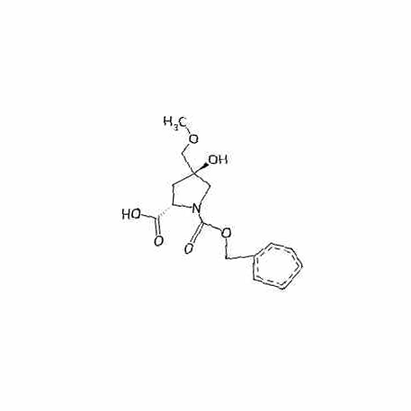 COC[C@@]1(O)C[C@@H](C(=O)O)N(C(=O)OCc2ccccc2)C1